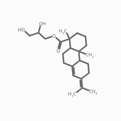 CC(C)=C1C=C2CCC3C(C)(C(=O)OCC(O)CO)CCCC3(C)C2CC1